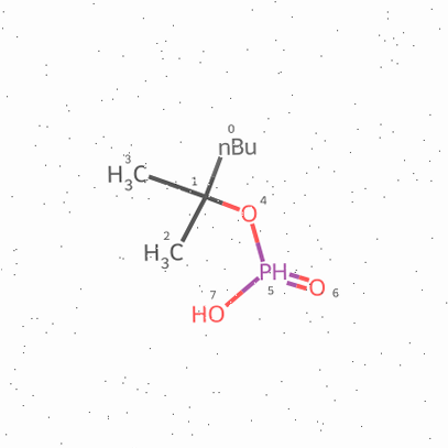 CCCCC(C)(C)O[PH](=O)O